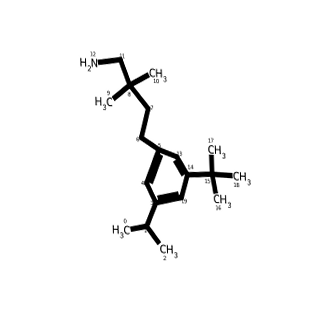 CC(C)c1cc(CCC(C)(C)CN)cc(C(C)(C)C)c1